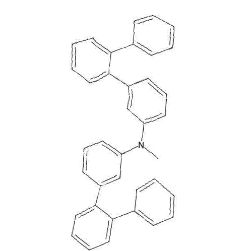 CN(c1cccc(-c2ccccc2-c2ccccc2)c1)c1cccc(-c2ccccc2-c2ccccc2)c1